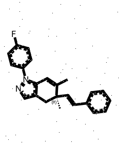 CC1=Cc2c(cnn2-c2ccc(F)cc2)C[C@]1(C)C=Cc1ccccc1